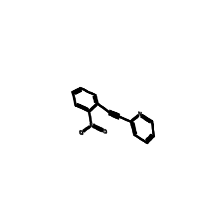 O=[N+]([O-])c1ccccc1C#Cc1ccccn1